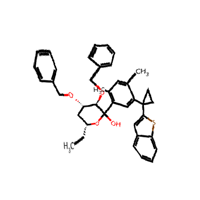 CC[C@@H]1C[C@H](OCc2ccccc2)[C@@H](OCc2ccccc2)C(O)(c2cc(C3(c4cc5ccccc5s4)CC3)c(C)cc2C)O1